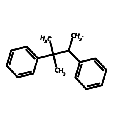 [CH2]C(c1ccccc1)C(C)(C)c1ccccc1